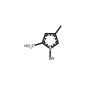 CCCn1cc(C)cc1C(=O)O